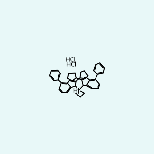 C1=C(C2CCCC2)[CH]([Hf]2([CH]3C(C4CCCC4)=Cc4c(-c5ccccc5)cccc43)[CH2]C[CH2]2)c2cccc(-c3ccccc3)c21.Cl.Cl